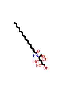 CCCCCCCCCCCCCC=CC(=O)N[C@@H](C=O)[C@@H](O)[C@H](O)[C@H](O)CO